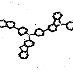 c1ccc(-n2c3ccccc3c3cc(-c4ccc(N(c5ccc(-c6ccc7ccccc7c6)cc5)c5ccc6c(c5)Cc5ccccc5-6)cc4)ccc32)cc1